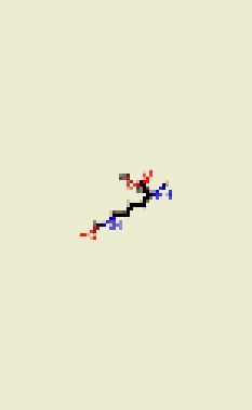 CNC(CCCCNCO)C(=O)OC